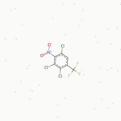 O=[N+]([O-])c1c(Cl)cc(C(F)(F)F)c(Cl)c1Cl